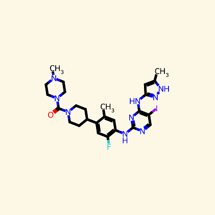 Cc1cc(Nc2nc(Nc3cc(C)c(C4CCN(C(=O)N5CCN(C)CC5)CC4)cc3F)ncc2I)n[nH]1